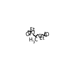 CCC1(COCC(C)COC2(CC)COC2)COC1